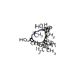 C/C1=C\C=C\[C@@H](CO)[C@@]2(O)C[C@H](OC(=O)N2)[C@@H](C)[C@@H]2O[C@@]2(C)[C@@H](OC(=O)[C@H](C)N(C)C(=O)CC(C)C)CC(=O)N(C)c2cc(cc(CO)c2Cl)C1